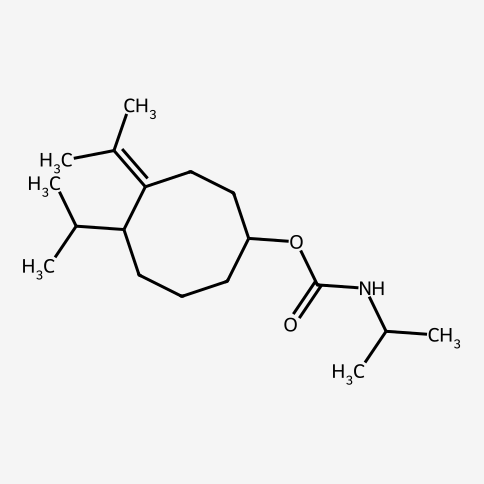 CC(C)=C1CCC(OC(=O)NC(C)C)CCCC1C(C)C